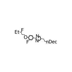 CCCCCCCCCCCCc1cnc(-c2ccc(OCCC(F)CC)c(F)c2)nc1